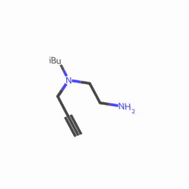 C#CCN(CCN)C(C)CC